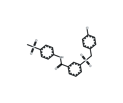 CS(=O)(=O)c1ccc(NC(=O)c2cccc(S(=O)(=O)Cc3ccc(Cl)cc3)c2)cc1